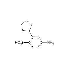 Nc1ccc(S(=O)(=O)O)c(C2CCCC2)c1